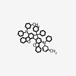 CC1=CC=CC(N(c2ccccc2)c2cc3c(c4oc5ccccc5c24)-c2c(cc(N(c4ccccc4)c4cccc(C)c4)c4c2oc2ccccc24)C3(c2ccccc2)c2ccccc2)C1